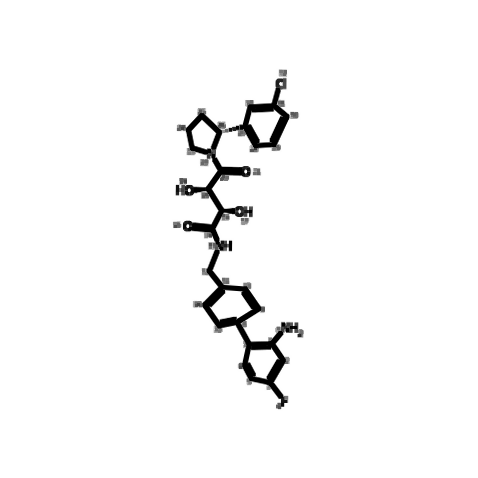 Nc1cc(F)ccc1-c1ccc(CNC(=O)[C@H](O)[C@@H](O)C(=O)N2CCC[C@@H]2c2cccc(Cl)c2)cc1